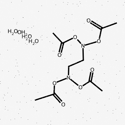 CC(=O)ON(CCN(OC(C)=O)OC(C)=O)OC(C)=O.O.O.O.O